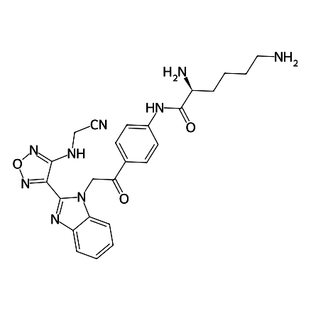 N#CCNc1nonc1-c1nc2ccccc2n1CC(=O)c1ccc(NC(=O)[C@@H](N)CCCCN)cc1